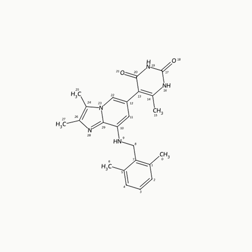 Cc1cccc(C)c1CNc1cc(-c2c(C)[nH]c(=O)[nH]c2=O)cn2c(C)c(C)nc12